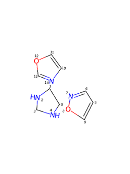 C1CNCN1.c1cnoc1.c1cocn1